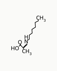 CCCCCCCCNC=C(C)C(=O)O